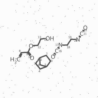 C1CC2CCC1C2.C=CC(=O)OCCO.O=C=NCCN=C=O